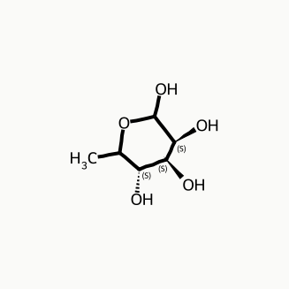 CC1OC(O)[C@@H](O)[C@@H](O)[C@@H]1O